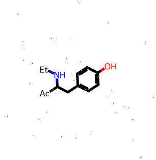 CCNC(Cc1ccc(O)cc1)C(C)=O